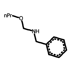 CCCOCNCc1ccccc1